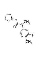 Cc1ccc(N(C)C(=O)CN2CCCC2)cc1F